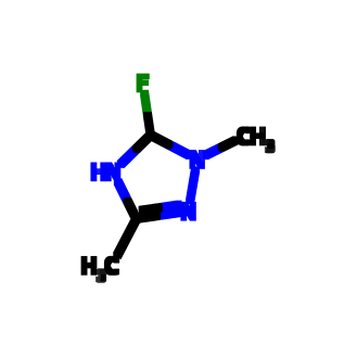 CC1=NN(C)C(F)N1